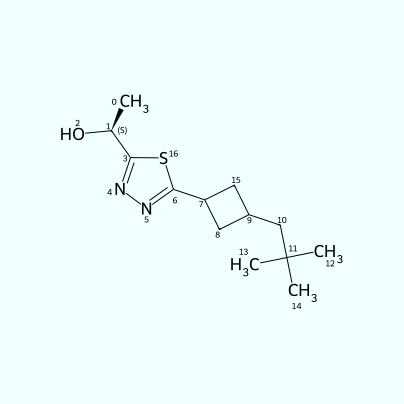 C[C@H](O)c1nnc(C2CC(CC(C)(C)C)C2)s1